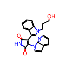 O=C1NC(=O)C(n2ccc3cccnc32)=C1c1cn(CCCO)c2ccccc12